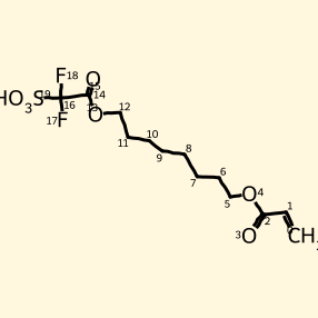 C=CC(=O)OCCCCCCCCOC(=O)C(F)(F)S(=O)(=O)O